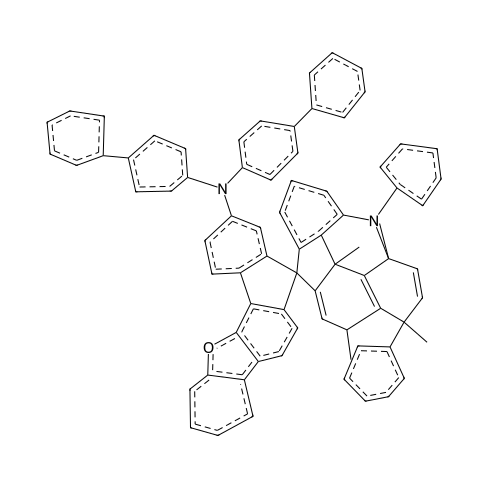 CC1C=C2C3(C)C4=C1C(C)(c1ccccc1)C=CC4(C)N(c1ccccc1)c1cccc(c13)C21c2cc(N(c3ccc(-c4ccccc4)cc3)c3ccc(-c4ccccc4)cc3)ccc2-c2c1ccc1c2oc2ccccc21